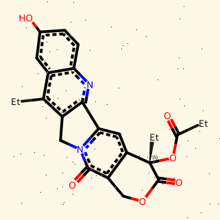 CCC(=O)O[C@]1(CC)C(=O)OCc2c1cc1n(c2=O)Cc2c-1nc1ccc(O)cc1c2CC